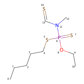 CCCCCSP(=S)(OCC)N(C)C=S